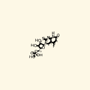 O=c1cc(F)c2cn([C@@H]3O[C@H](COP(=O)(O)O)C(O)[C@@H]3O)c(=S)nc2[nH]1